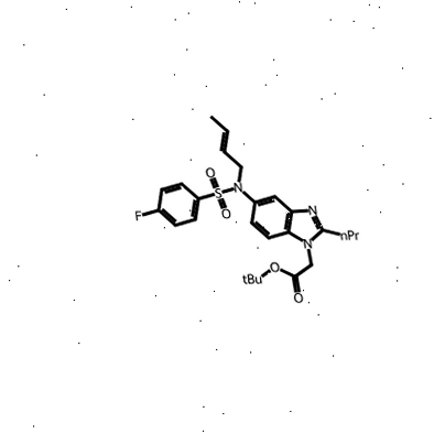 CC=CCN(c1ccc2c(c1)nc(CCC)n2CC(=O)OC(C)(C)C)S(=O)(=O)c1ccc(F)cc1